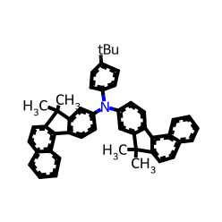 CC(C)(C)c1ccc(N(c2ccc3c(c2)C(C)(C)c2ccc4ccccc4c2-3)c2ccc3c(c2)C(C)(C)c2ccc4ccccc4c2-3)cc1